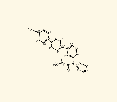 O=C(NO)C(c1ccccc1)c1cccc(N2CCN(c3ccc(F)cc3)CC2)c1